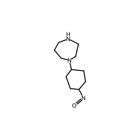 O=NC1CCC(N2CCCNCC2)CC1